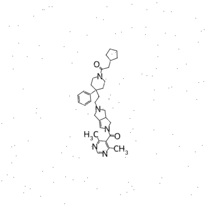 Cc1ncnc(C)c1C(=O)N1C=C2CN(CCC3(c4ccccc4)CCN(C(=O)CC4CCCC4)CC3)CC2C1